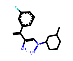 C=C(/C(N)=C/N(N)C1CCCC(C)C1)c1cccc(F)c1